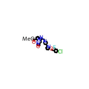 COC(=O)c1ccc2nc(CN3CC=C(c4cccc(OCc5ccc(Cl)cc5F)n4)CC3)c(Cc3cocn3)n2c1